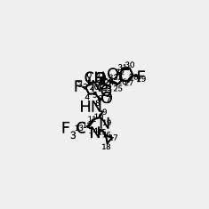 CC1C(F)CC(C(=O)NCc2cc(C(F)(F)F)nc(C3CC3)n2)N1S(=O)(=O)c1cc2cc(F)ccc2o1